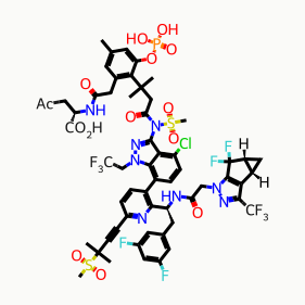 CC(=O)C[C@@H](NC(=O)Cc1cc(C)cc(OP(=O)(O)O)c1C(C)(C)CC(=O)N(c1nn(CC(F)(F)F)c2c(-c3ccc(C#CC(C)(C)S(C)(=O)=O)nc3[C@H](Cc3cc(F)cc(F)c3)NC(=O)Cn3nc(C(F)(F)F)c4c3C(F)(F)[C@@H]3C[C@H]43)ccc(Cl)c12)S(C)(=O)=O)C(=O)O